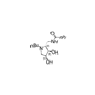 CCCCN1C[C@H](O)[C@H](O)[C@H]1CNC(=O)CCC